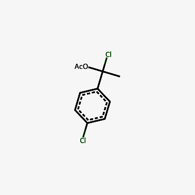 CC(=O)OC(C)(Cl)c1ccc(Cl)cc1